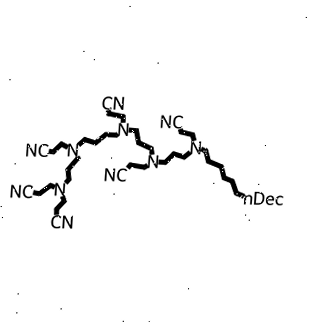 CCCCCCCCCCCCCCCCN(CCC#N)CCCN(CCC#N)CCCN(CCC#N)CCCCN(CCC#N)CCCN(CCC#N)CCC#N